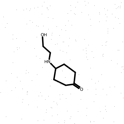 O=C1CCC(NCCO)CC1